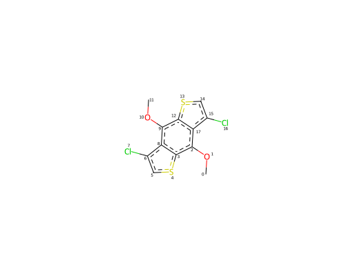 COc1c2scc(Cl)c2c(OC)c2scc(Cl)c12